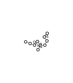 c1ccc(-c2ccc(-c3cccc4c3oc3cccc(-c5nc(-c6ccccc6)nc(-c6cccc(-c7cccc(-c8cccc9c8sc8ccccc89)c7)c6)n5)c34)cc2)cc1